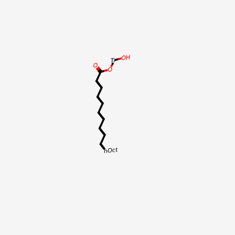 CCCCCCCCCCCCCCCCCC(=O)[O][Ti][OH]